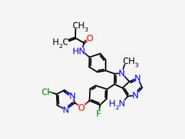 C=C(C)C(=O)Nc1ccc(-c2c(-c3ccc(Oc4ncc(Cl)cn4)c(F)c3)c3c(N)ncnc3n2C)cc1